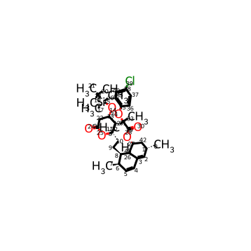 C[C@@H]1C=C2C=C[C@@H](C)[C@@H](CC[C@H]3C[C@H](O[Si](C)(C)C(C)(C)C)CC(=O)O3)[C@@H]2[C@H](OC(=O)C(C)(C)Oc2ccc(Cl)cc2)C1